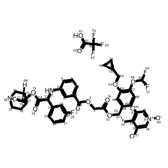 O=C(COC(=O)c1cccc(NC(C(=O)O[C@H]2CN3CCC2CC3)c2cccc(F)c2)c1)O[C@@H](Cc1c(Cl)c[n+]([O-])cc1Cl)c1ccc(OC(F)F)c(OCC2CC2)c1.O=C(O)C(F)(F)F